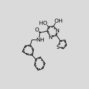 O=C(NCc1cccc(-c2ccccc2)c1)c1nc(-c2cccs2)nc(O)c1O